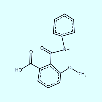 COc1cccc(C(=O)O)c1C(=O)Nc1ccccc1